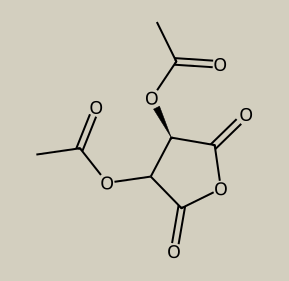 CC(=O)OC1C(=O)OC(=O)[C@@H]1OC(C)=O